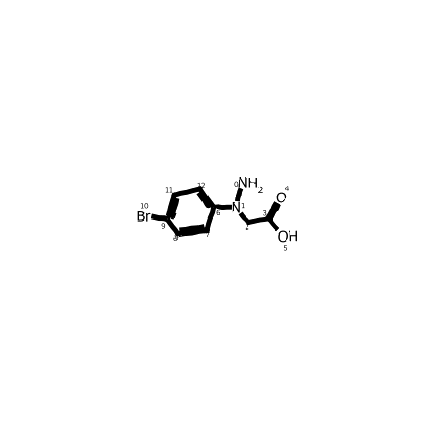 NN(CC(=O)O)c1ccc(Br)cc1